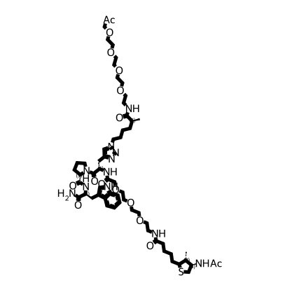 CC(=O)COCCOCCOCCOCCNC(=O)[C@@H](C)CCCCn1cc(C[C@H](NC(=O)COCCOCCOCCNC(=O)CCCCC2SC[C@@H](NC(C)=O)[C@H]2C)C(=O)N2CCC[C@H]2C(=O)N[C@@H](Cc2c[nH]c3ccccc23)C(N)=O)nn1